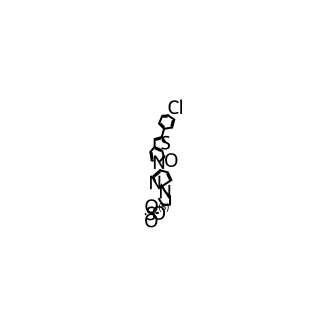 CS(=O)(=O)O[C@H]1CCN(c2ccc(-n3ccc4cc(-c5ccc(Cl)cc5)sc4c3=O)cn2)C1